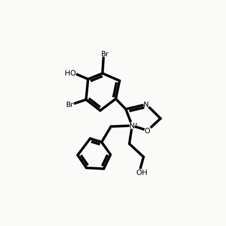 OCC[N+]1(Cc2ccccc2)OCN=C1c1cc(Br)c(O)c(Br)c1